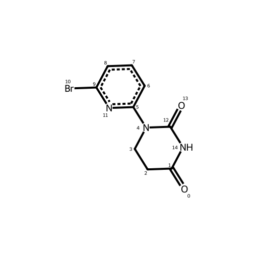 O=C1CCN(c2cccc(Br)n2)C(=O)N1